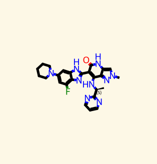 C[C@H](Nc1c(-c2nc3c(F)cc(N4CCCCC4)cc3[nH]2)c(=O)[nH]c2cn(C)nc12)c1ncccn1